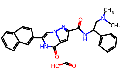 CN(C)CC(NC(=O)c1cc2c(=O)[nH]c(-c3ccc4ccccc4c3)cn2n1)c1ccccc1.O=CO